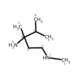 CNCCC(C)(N)C(C)C